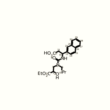 CCOC(=O)C(O)CN(CC(C)C)C(=O)NC(CC(=O)O)c1ccc2ccccc2c1